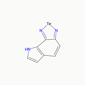 c1cc2ccc3n[te]nc3c2[nH]1